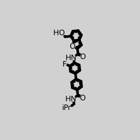 CC(C)CNC(=O)c1ccc(-c2ccc(NC(=O)c3cc4cccc(CO)c4o3)c(F)c2)cc1